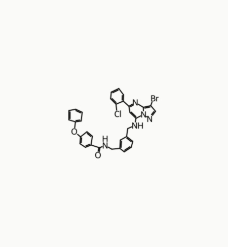 O=C(NCc1cccc(CNc2cc(-c3ccccc3Cl)nc3c(Br)cnn23)c1)c1ccc(Oc2ccccc2)cc1